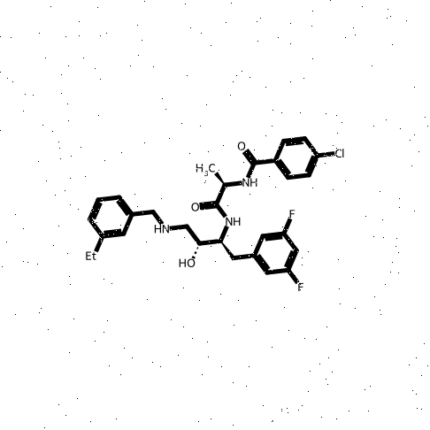 CCc1cccc(CNC[C@@H](O)[C@H](Cc2cc(F)cc(F)c2)NC(=O)[C@@H](C)NC(=O)c2ccc(Cl)cc2)c1